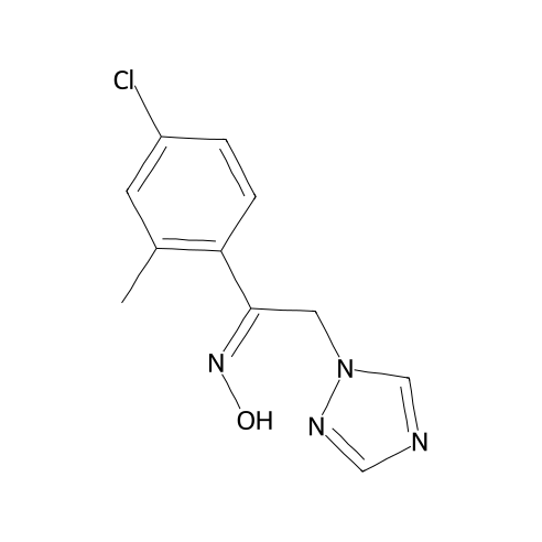 Cc1cc(Cl)ccc1C(Cn1cncn1)=NO